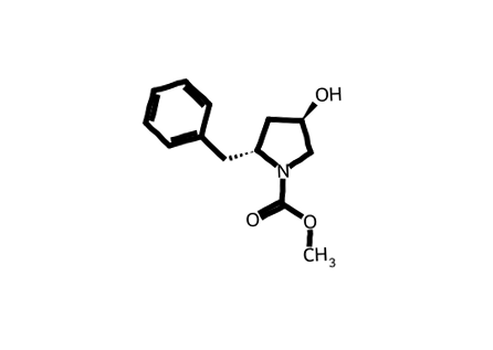 COC(=O)N1C[C@H](O)C[C@H]1Cc1ccccc1